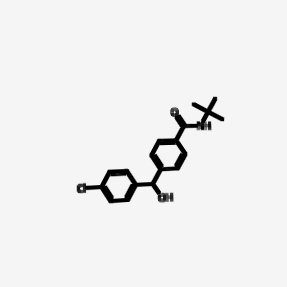 CC(C)(C)NC(=O)c1ccc(C(O)c2ccc(Cl)cc2)cc1